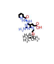 CC(C)(C)[Si](C)(C)OCCn1c(C(=O)O)cc2c(NNC(=O)c3ccccn3)nc(N)nc21